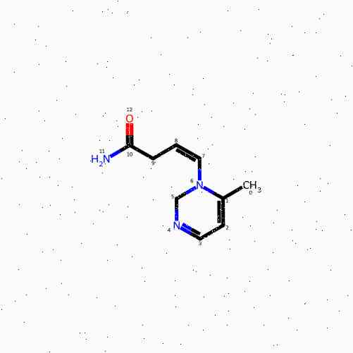 CC1=CC=NCN1/C=C\CC(N)=O